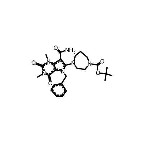 Cn1c(=O)c2c(c(C(N)=O)c(N3CCCN(C(=O)OC(C)(C)C)CC3)n2Cc2ccccc2)n(C)c1=O